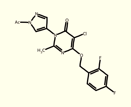 CC(=O)n1cc(-n2c(C)nc(OCc3ccc(F)cc3F)c(Cl)c2=O)cn1